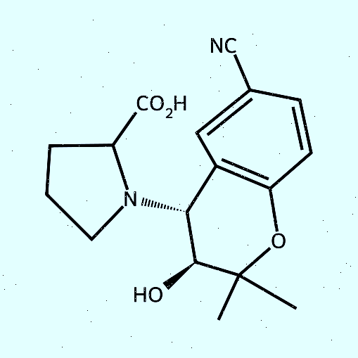 CC1(C)Oc2ccc(C#N)cc2[C@@H](N2CCCC2C(=O)O)[C@@H]1O